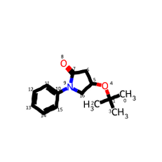 CC(C)(C)OC1CC(=O)N(c2ccccc2)C1